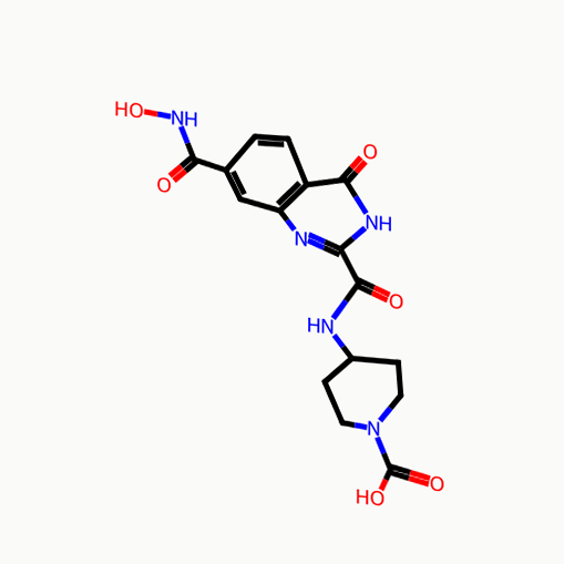 O=C(NO)c1ccc2c(=O)[nH]c(C(=O)NC3CCN(C(=O)O)CC3)nc2c1